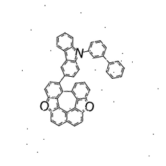 c1ccc(-c2cccc(-n3c4ccccc4c4cc(-c5ccc6oc7ccc8ccc9oc%10cccc%11c%10c9c8c7c6c5-%11)ccc43)c2)cc1